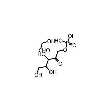 O=C(COP(=O)(O)O)C(O)C(O)CO.O=CCO